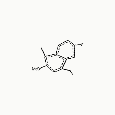 COc1cc(C)c2cc(Br)ccc2c1C